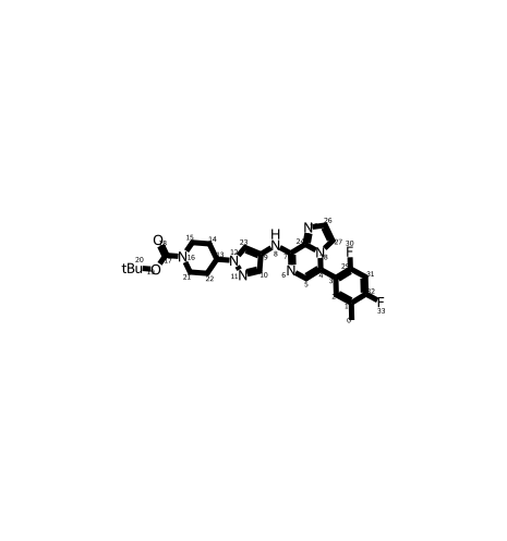 Cc1cc(-c2cnc(Nc3cnn(C4CCN(C(=O)OC(C)(C)C)CC4)c3)c3nccn23)c(F)cc1F